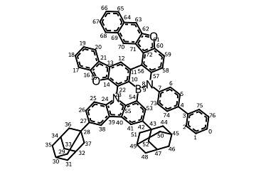 c1ccc(-c2ccc(N3B4c5c(cc6c(oc7ccccc76)c5-n5c6ccc(C78CC9CC(CC(C9)C7)C8)cc6c6cc(C78CC9CC(CC(C9)C7)C8)cc4c65)-c4c3ccc3oc5cc6ccccc6cc5c43)cc2)cc1